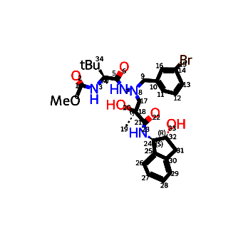 COC(=O)N[C@H](C(=O)NN(Cc1cccc(Br)c1)C[C@](C)(O)C(=O)N[C@H]1c2ccccc2C[C@H]1O)C(C)(C)C